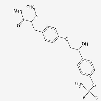 CNC(=O)C(Cc1ccc(OCC(O)c2ccc(OC(F)(F)P)cc2)cc1)SC=O